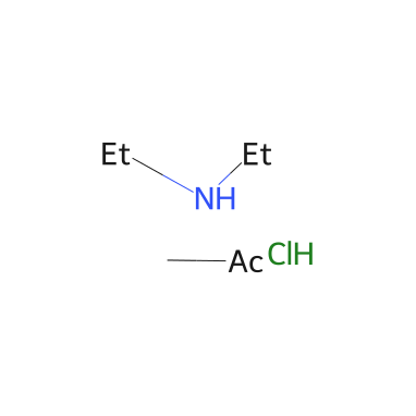 CC(C)=O.CCNCC.Cl